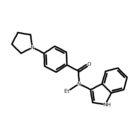 CCN(C(=O)c1ccc(N2CCCC2)cc1)c1c[nH]c2ccccc12